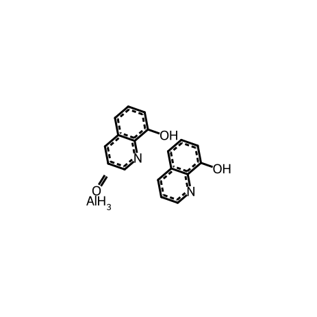 C=O.Oc1cccc2cccnc12.Oc1cccc2cccnc12.[AlH3]